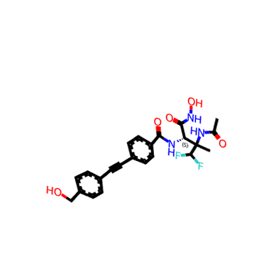 CC(=O)NC(C)(C(F)F)[C@H](NC(=O)c1ccc(C#Cc2ccc(CO)cc2)cc1)C(=O)NO